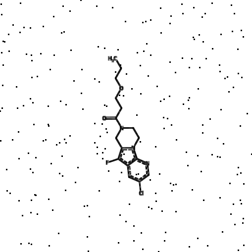 CCCOCCC(=O)N1CCn2c(c(F)c3cc(Cl)cnc32)C1